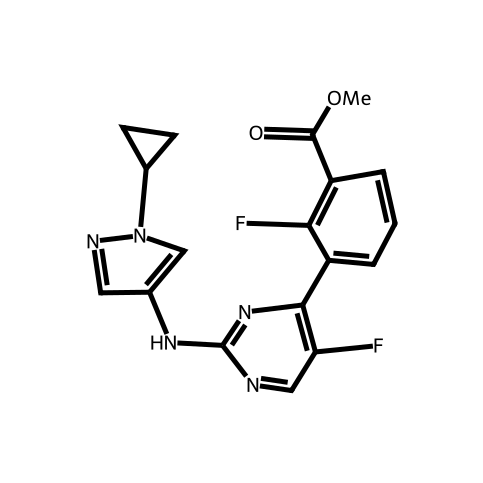 COC(=O)c1cccc(-c2nc(Nc3cnn(C4CC4)c3)ncc2F)c1F